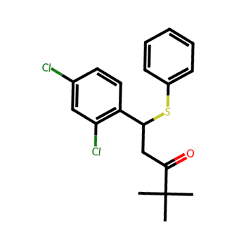 CC(C)(C)C(=O)CC(Sc1ccccc1)c1ccc(Cl)cc1Cl